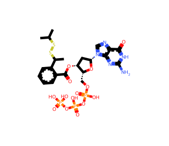 CC(C)SSC(C)c1ccccc1C(=O)O[C@@H]1C[C@H](n2cnc3c(=O)[nH]c(N)nc32)O[C@@H]1COP(=O)(O)OP(=O)(O)OP(=O)(O)O